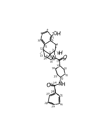 CC1(C)[C@H]2Cc3c(O)cccc3[C@]1(C)CCN2C(=O)C1CCC(NC(=O)c2ccccc2)CC1